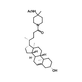 CC(=O)NC1(C)CCN(C(=O)CC[C@@H](C)[C@H]2CC[C@H]3[C@@H]4CC=C5C[C@@H](O)CC[C@]5(C)[C@H]4CC[C@]23C)CC1